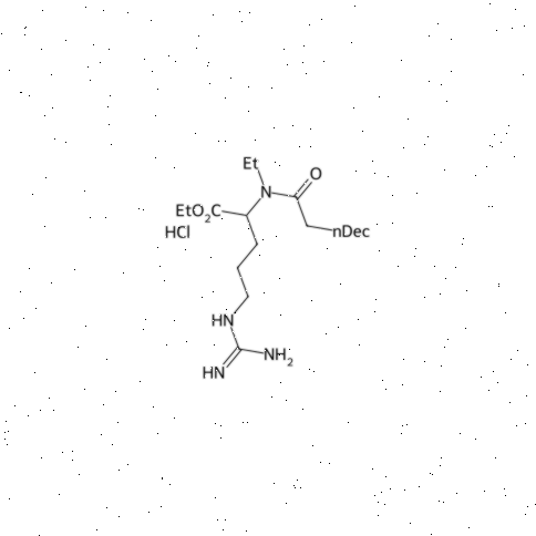 CCCCCCCCCCCC(=O)N(CC)C(CCCNC(=N)N)C(=O)OCC.Cl